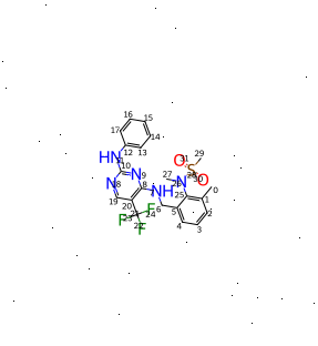 Cc1cccc(CNc2nc(Nc3ccccc3)ncc2C(F)(F)F)c1N(C)S(C)(=O)=O